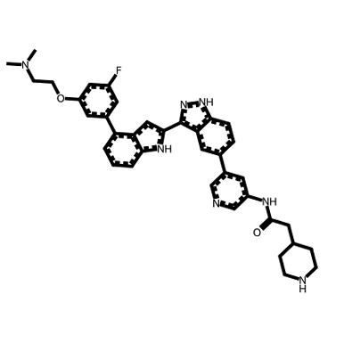 CN(C)CCOc1cc(F)cc(-c2cccc3[nH]c(-c4n[nH]c5ccc(-c6cncc(NC(=O)CC7CCNCC7)c6)cc45)cc23)c1